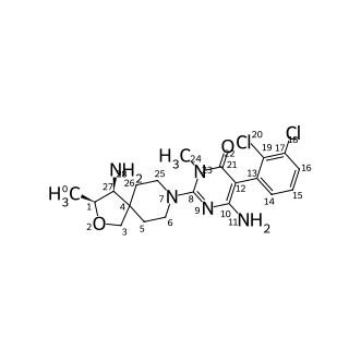 C[C@@H]1OCC2(CCN(c3nc(N)c(-c4cccc(Cl)c4Cl)c(=O)n3C)CC2)[C@@H]1N